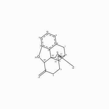 C=C1CCC2(C(C)C)C3Cc4cccc5c4C2(CCN3C)C1O5